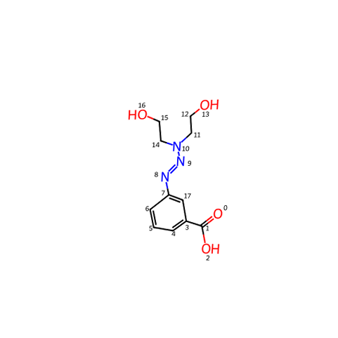 O=C(O)c1cccc(N=NN(CCO)CCO)c1